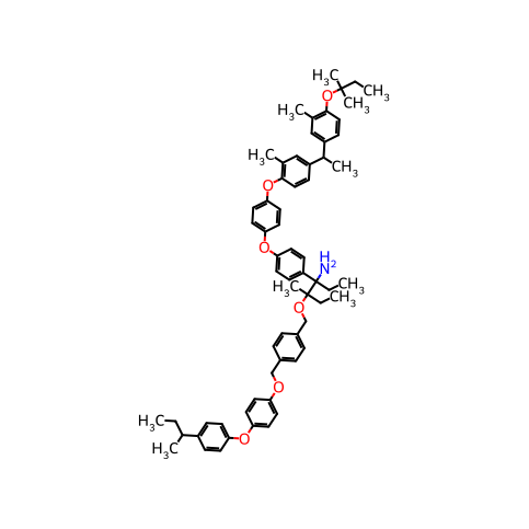 CCC(C)c1ccc(Oc2ccc(OCc3ccc(COC(C)(CC)C(N)(CC)c4ccc(Oc5ccc(Oc6ccc(C(C)c7ccc(OC(C)(C)CC)c(C)c7)cc6C)cc5)cc4)cc3)cc2)cc1